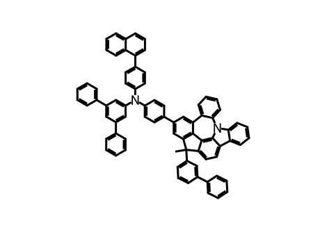 CC1(c2cccc(-c3ccccc3)c2)c2cc(-c3ccc(N(c4ccc(-c5cccc6ccccc56)cc4)c4cc(-c5ccccc5)cc(-c5ccccc5)c4)cc3)cc3c2-c2c1ccc1c4ccccc4n(c21)-c1ccccc1-3